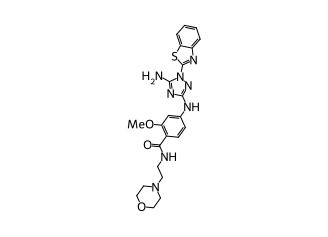 COc1cc(Nc2nc(N)n(-c3nc4ccccc4s3)n2)ccc1C(=O)NCCN1CCOCC1